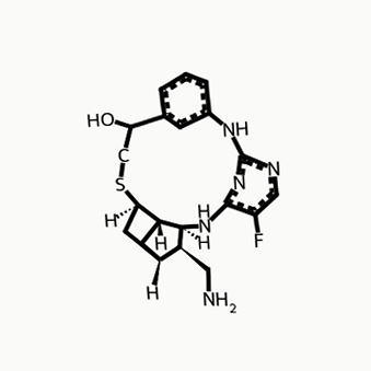 NC[C@H]1[C@H]2C[C@H]3[C@H]1Nc1nc(ncc1F)Nc1cccc(c1)C(O)CS[C@@H]3C2